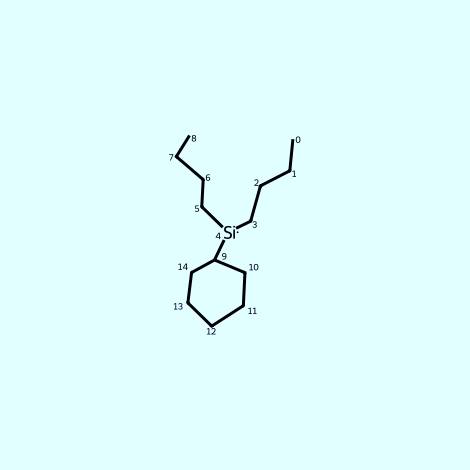 CCCC[Si](CCCC)C1CCCCC1